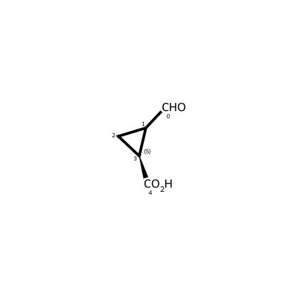 O=CC1C[C@@H]1C(=O)O